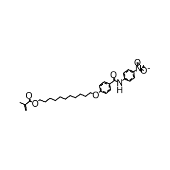 C=C(C)C(=O)OCCCCCCCCCCCOc1ccc(C(=O)Nc2ccc([N+](=O)[O-])cc2)cc1